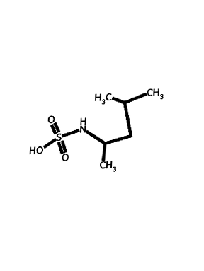 CC(C)CC(C)NS(=O)(=O)O